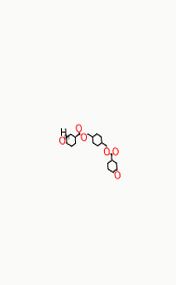 O=C(OCC1CCC(COC(=O)C2CCC3O[C@@H]3C2)CC1)C1CCC2OC2C1